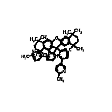 Cc1ccc(-c2cccc(C3(c4cccc(-c5ccc(C)nc5)n4)c4cc5c(cc4Oc4cc6c(cc43)C(C)(C)CCC6(C)C)C(C)(C)CCC5(C)C)n2)cn1